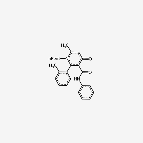 CCCCCn1c(C)cc(=O)c(C(=O)Nc2ccccc2)c1-c1ccccc1C